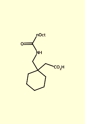 CCCCCCCCC(=O)NCC1(CC(=O)O)CCCCC1